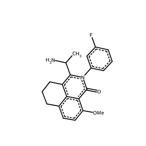 COc1ccc2c3c(c(C(C)N)n(-c4cccc(F)c4)c(=O)c13)CCC2